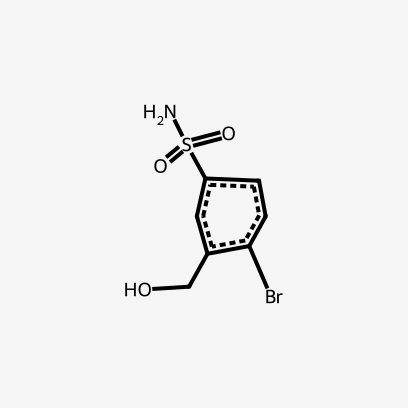 NS(=O)(=O)c1ccc(Br)c(CO)c1